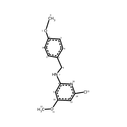 COc1ccc(CNc2cc(OC)cc(Cl)n2)cc1